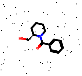 O=C(c1[c]cccc1)N1CCCC[C@H]1CO